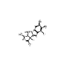 CCCCC(C(O)=S)C(C)(C(O)=S)c1nc2c(CC)c(CC)c(CC)cc2[nH]1